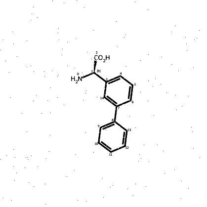 N[C@@H](C(=O)O)c1cccc(-c2ccccc2)c1